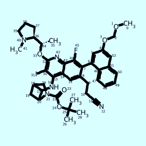 COCOc1cc(-c2c(CCC#N)cc3c(NC4C5CC4N(C(=O)OC(C)(C)C)C5)c(I)c(O[C@@H](C)[C@@H]4CCCN4C)nc3c2F)c2ccccc2c1